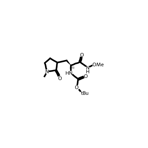 CONC(=O)[C@H](CC1CCN(C)C1=O)NC(=O)OC(C)(C)C